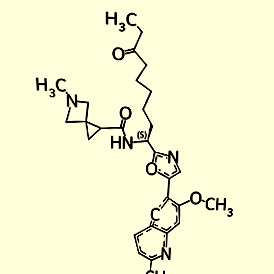 CCC(=O)CCCCC[C@H](NC(=O)C1CC12CN(C)C2)c1ncc(-c2cc3ccc(C)nc3cc2OC)o1